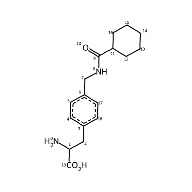 NC(Cc1ccc(CNC(=O)C2CCCCC2)cc1)C(=O)O